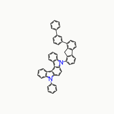 c1ccc(-c2cccc(-c3cccc4c3Cc3c-4cccc3-n3c4ccccc4c4c5c6ccccc6n(-c6ccccc6)c5ccc43)c2)cc1